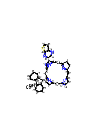 C1=Cc2cc3ccc(cc4nc(cc5ccc(cc1n2)[nH]5)C=C4)[nH]3.[Co].[SiH4].c1ccc2c(c1)Cc1ccccc1-2.c1cnc2sccc2n1